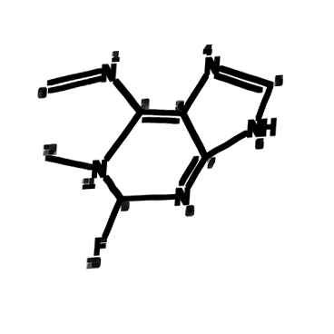 C=NC1=c2nc[nH]c2=NC(F)N1C